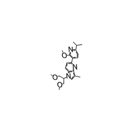 COCC(COC)n1cc(C)c2nc(-c3ccc(C(C)C)nc3OC)ccc21